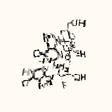 Nc1nc2c(ncn2[C@]2(OP(=O)(S)OC[C@H]3O[C@@H](n4nnc5c(=O)[nH]cnc54)[C@@H](F)[C@@H]3O)CO[C@H](CO)C2)c(=O)[nH]1